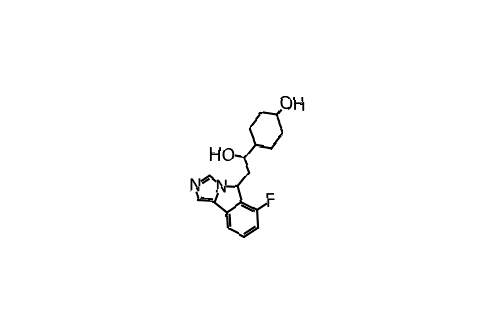 OC1CCC(C(O)CC2c3c(F)cccc3-c3cncn32)CC1